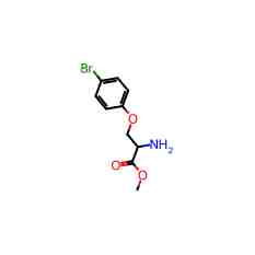 COC(=O)C(N)COc1ccc(Br)cc1